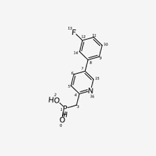 O=[PH](O)Cc1ccc(-c2cccc(F)c2)cn1